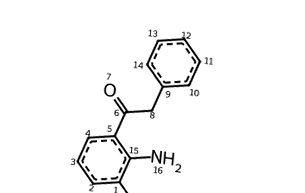 Cc1cccc(C(=O)Cc2ccccc2)c1N